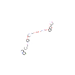 C[C@@H](C(=O)Nc1ccc(OC2CCN(CCCOCCOCCNC(=O)COc3cccc4c3C(=O)C(C3CCC(=O)NC3=O)C4=O)CC2)cc1)[C@H]1CC[C@@H](c2ccnc3ccc(F)cc32)CC1